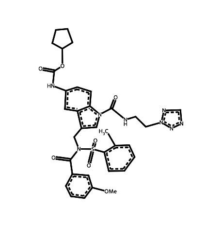 COc1cccc(C(=O)N(Cc2cn(C(=O)NCCn3ncnn3)c3ccc(NC(=O)OC4CCCC4)cc23)S(=O)(=O)c2ccccc2C)c1